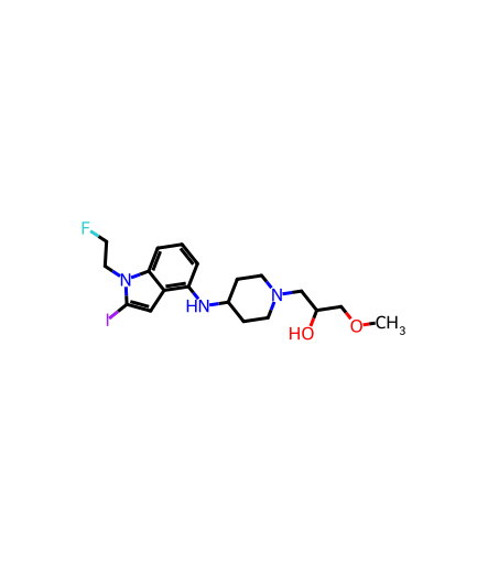 COCC(O)CN1CCC(Nc2cccc3c2cc(I)n3CCF)CC1